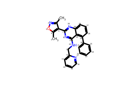 Cc1noc(C)c1-c1nc(NCc2ccccn2)c2c(-c3ccccc3)cccc2n1